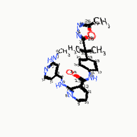 CNc1cc(CNc2ncccc2C(=O)Nc2ccc(C(C)(C)c3nnc(C)o3)cc2)ccn1